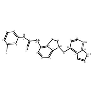 O=C(Nc1cccc(F)c1)Nc1cccc2c1CCN2Cc1ccnc2[nH]ccc12